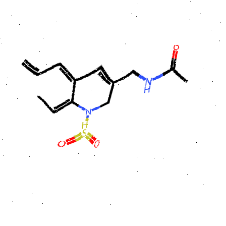 C=C/C=C1/C=C(CNC(C)=O)CN([SH](=O)=O)/C1=C/C